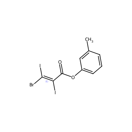 Cc1cccc(OC(=O)/C(I)=C(/Br)I)c1